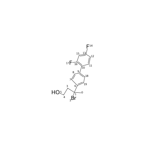 CC(Br)(CCO)c1ccc(-c2ccc(F)cc2F)cc1